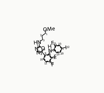 COCCCNc1nnc(-c2ccc(F)c(F)c2Nc2ccc(I)cc2F)o1